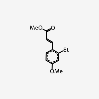 CCc1cc(OC)ccc1C=CC(=O)OC